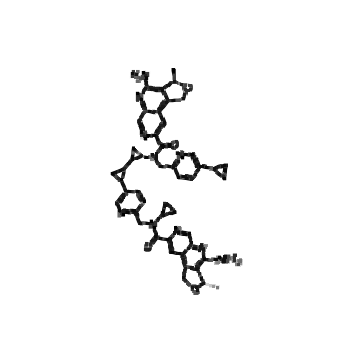 C[C@@H]1OCc2c1c(N)nc1cnc(C(=O)N(Cc3ccc(C4CC4C4CC4N(Cc4ccc(C5CC5)cn4)C(=O)c4cc5c6c(c(N)nc5cn4)[C@@H](C)OC6)cn3)C3CC3)cc21